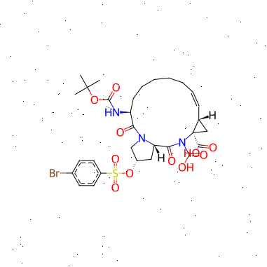 CC(C)(C)OC(=O)N[C@H]1CCCCC/C=C\[C@@H]2C[C@@]2(C(=O)O)N(C(=O)O)C(=O)[C@@H]2C[C@H](OS(=O)(=O)c3ccc(Br)cc3)CN2C1=O